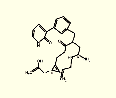 C=CCN[C@H](N)CN(Cc1cccc(-c2ccc[nH]c2=O)c1)C(=O)CCC1=C[C@@H]1CC(=C)O